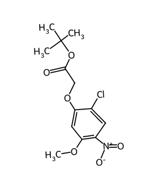 COc1cc(OCC(=O)OC(C)(C)C)c(Cl)cc1[N+](=O)[O-]